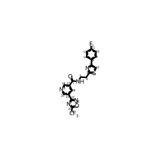 O=C(NCCc1nc(-c2ccc(F)cc2)cs1)c1cncc(-c2noc(C(F)(F)F)n2)c1